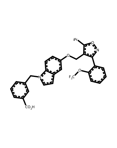 CC(C)c1onc(-c2ccccc2OC(F)(F)F)c1COc1ccc2c(ccn2Cc2cccc(C(=O)O)c2)c1